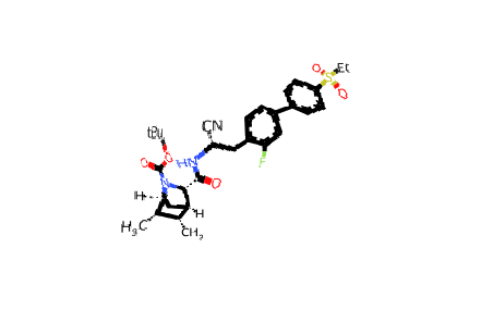 CCS(=O)(=O)c1ccc(-c2ccc(C[C@@H](C#N)NC(=O)[C@@H]3[C@@H]4C[C@@H]([C@@H](C)[C@H]4C)N3C(=O)OC(C)(C)C)c(F)c2)cc1